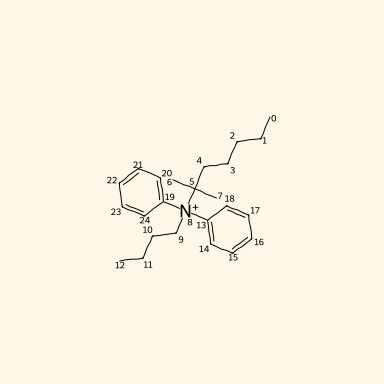 CCCCCC(C)(C)[N+](CCCC)(c1ccccc1)c1ccccc1